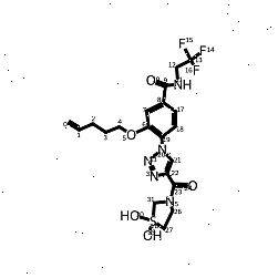 C=CCCCOc1cc(C(=O)NCC(F)(F)F)ccc1-n1cc(C(=O)N2CCS(O)(O)C2)nn1